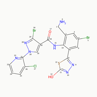 NCc1cc(Br)cc(-c2nnc(O)s2)c1NC(=O)c1cn(-c2ncccc2Cl)nc1Br